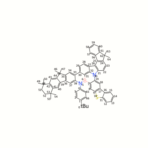 CC(C)(C)c1ccc(N2B3c4cc5sc6ccccc6c5cc4-n4c5ccc6c(c5c5ccc(c3c54)-c3cc4c(cc32)-c2cc3c(cc2C4(C)C)C(C)(C)CCC3(C)C)-c2ccccc2C6(C)C)cc1